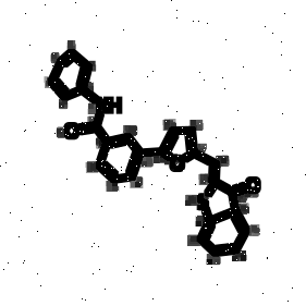 O=C(Nc1ccccc1)c1cccc(-c2ccc(/C=C3\Sc4ccccc4C3=O)o2)c1